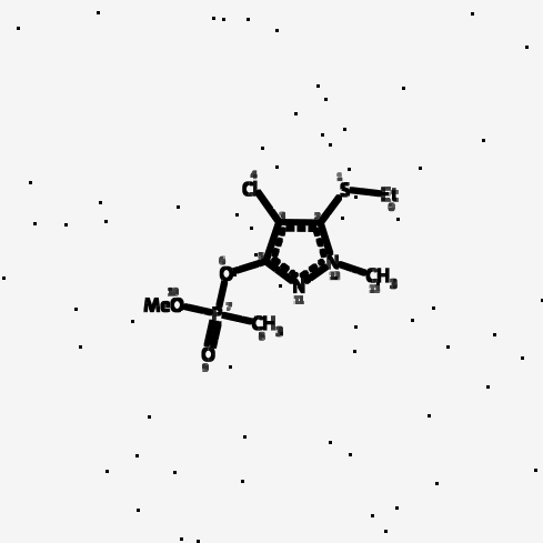 CCSc1c(Cl)c(OP(C)(=O)OC)nn1C